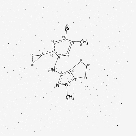 Cc1cc(Nc2nn(C)c3c2CCC3)c(C2CC2)cc1Br